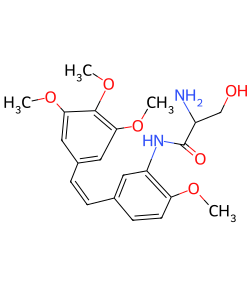 COc1ccc(/C=C\c2cc(OC)c(OC)c(OC)c2)cc1NC(=O)C(N)CO